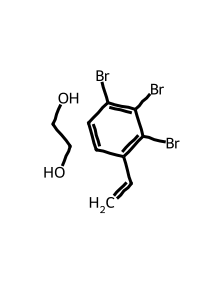 C=Cc1ccc(Br)c(Br)c1Br.OCCO